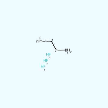 BCCCCC.F.F.F